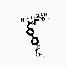 CCOc1ccc(-c2ccc(CC(C)NC(=O)CS(C)(=O)=O)cc2)cc1